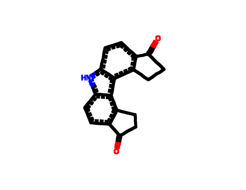 O=C1CCc2c1ccc1[nH]c3ccc4c(c3c21)CCC4=O